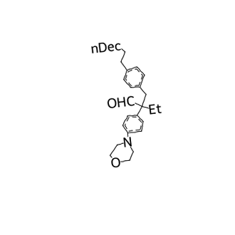 CCCCCCCCCCCCc1ccc(CC(C=O)(CC)c2ccc(N3CCOCC3)cc2)cc1